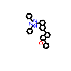 c1ccc(-c2nc(-c3ccccc3)nc(-c3cccc4cc(-c5cccc6c5ccc5oc7ccccc7c56)ccc34)n2)cc1